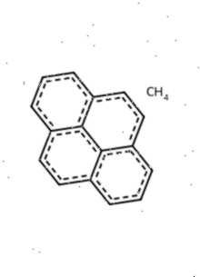 C.c1cc2ccc3cccc4ccc(c1)c2c34